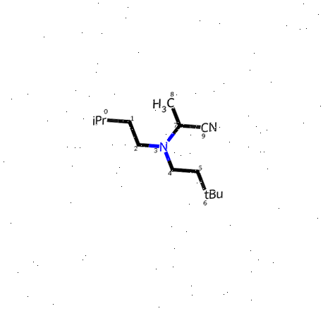 CC(C)CCN(CCC(C)(C)C)C(C)C#N